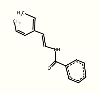 C\C=C/C(/C=C/NC(=O)c1ccccc1)=C\C